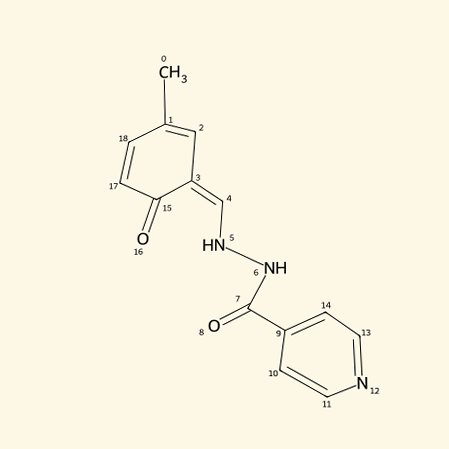 CC1=CC(=CNNC(=O)c2ccncc2)C(=O)C=C1